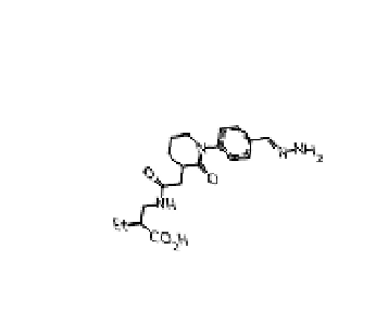 CCC(CNC(=O)CC1CCCN(c2ccc(C=NN)cc2)C1=O)C(=O)O